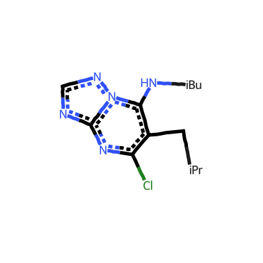 CCC(C)Nc1c(CC(C)C)c(Cl)nc2ncnn12